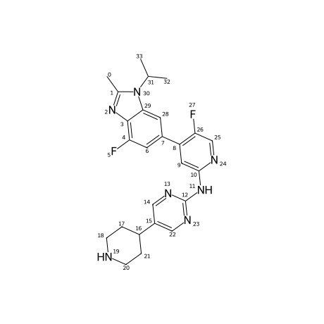 Cc1nc2c(F)cc(-c3cc(Nc4ncc(C5CCNCC5)cn4)ncc3F)cc2n1C(C)C